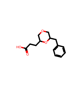 O=C(O)CCC1COCC(Cc2ccccc2)O1